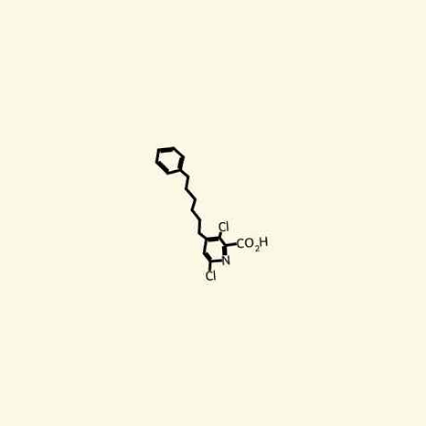 O=C(O)c1nc(Cl)cc(CCCCCCc2ccccc2)c1Cl